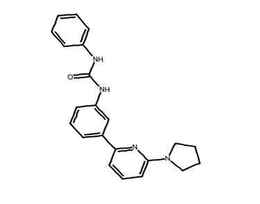 O=C(Nc1ccccc1)Nc1cccc(-c2cccc(N3CCCC3)n2)c1